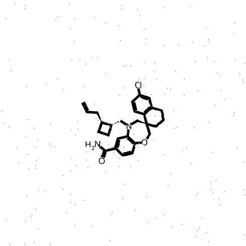 C=CC[C@@H]1CC[C@H]1CN1C[C@@]2(CCCc3cc(Cl)ccc32)COc2ccc(C(N)=O)cc21